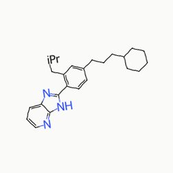 CC(C)Cc1cc(CCCC2CCCCC2)ccc1-c1nc2cccnc2[nH]1